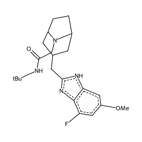 COc1cc(F)c2nc(CC3CC4CCC(C3)N4CC(=O)NC(C)(C)C)[nH]c2c1